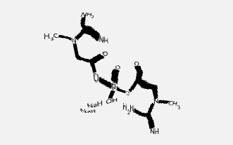 CN(CC(=O)OP(=O)(O)OC(=O)CN(C)C(=N)N)C(=N)N.[NaH].[NaH]